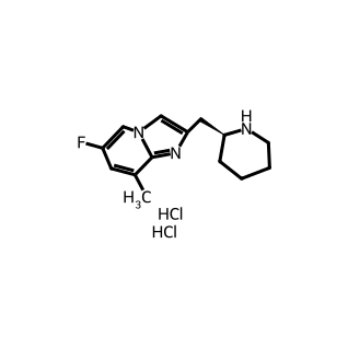 Cc1cc(F)cn2cc(C[C@@H]3CCCCN3)nc12.Cl.Cl